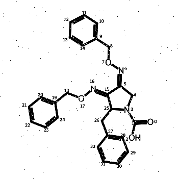 O=C(O)N1CC(=NOCc2ccccc2)C(=NOCc2ccccc2)C1Cc1ccccc1